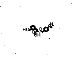 O=C(CC1CCC(N2C=NCC2)CC1)N[C@H]1Cc2cccc(CO)c2OB1O